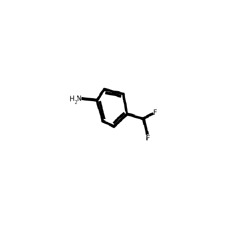 Nc1ccc(C(F)F)cc1